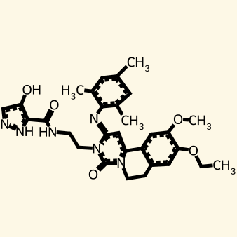 CCOc1cc2c(cc1OC)-c1c/c(=N\c3c(C)cc(C)cc3C)n(CCNC(=O)c3[nH]ncc3O)c(=O)n1CC2